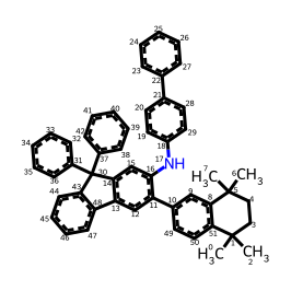 CC1(C)CCC(C)(C)c2cc(-c3cc4c(cc3Nc3ccc(-c5ccccc5)cc3)C(c3ccccc3)(c3ccccc3)c3ccccc3-4)ccc21